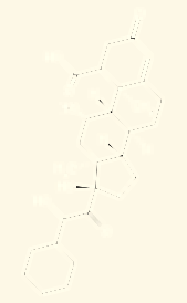 C[C@]12C[C@H](O)[C@H]3[C@@H](CCC4=CC(=O)CC(C(=O)O)[C@@]43C)[C@@H]1CC[C@]2(O)C(=O)C(O)C1CCCCC1